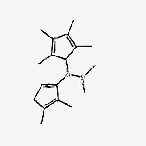 CC1=C(C)[C]([Zr]([CH]2C(C)=C(C)C(C)=C2C)[SiH](C)C)=CC1